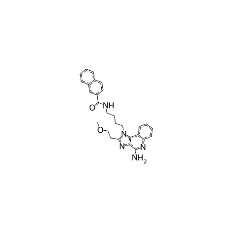 COCCc1nc2c(N)nc3ccccc3c2n1CCCCNC(=O)c1ccc2ccccc2c1